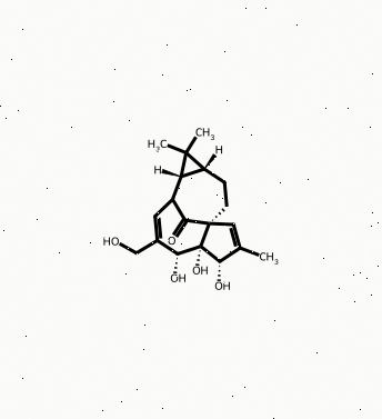 CC1=C[C@@]23CC[C@@H]4[C@H](C(C=C(CO)[C@@H](O)[C@]2(O)[C@H]1O)C3=O)C4(C)C